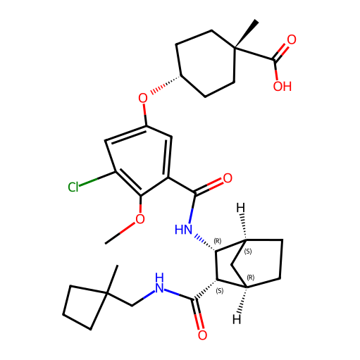 COc1c(Cl)cc(O[C@H]2CC[C@@](C)(C(=O)O)CC2)cc1C(=O)N[C@@H]1[C@H]2CC[C@H](C2)[C@@H]1C(=O)NCC1(C)CCC1